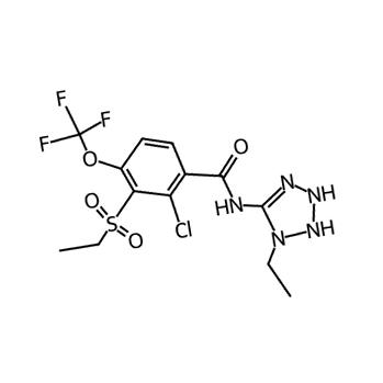 CCN1NNN=C1NC(=O)c1ccc(OC(F)(F)F)c(S(=O)(=O)CC)c1Cl